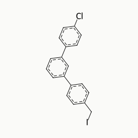 Clc1ccc(-c2cccc(-c3ccc(CI)cc3)c2)cc1